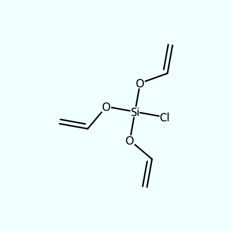 C=CO[Si](Cl)(OC=C)OC=C